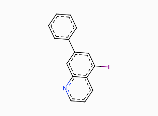 Ic1cc(-c2ccccc2)cc2ncccc12